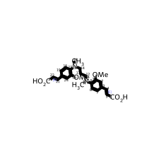 COc1cc(/C=C/C(=O)O)ccc1N(C)CCCN(C)c1ccc(/C=C/C(=O)O)cc1OC